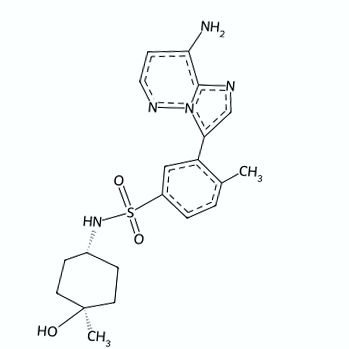 Cc1ccc(S(=O)(=O)N[C@H]2CC[C@](C)(O)CC2)cc1-c1cnc2c(N)ccnn12